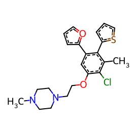 Cc1c(Cl)c(OCCN2CCN(C)CC2)cc(-c2ccco2)c1-c1cccs1